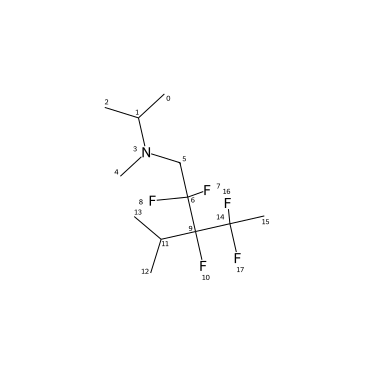 CC(C)N(C)CC(F)(F)C(F)(C(C)C)C(C)(F)F